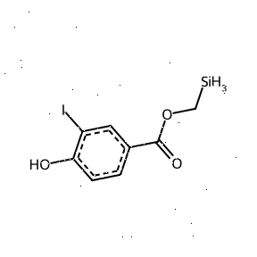 O=C(OC[SiH3])c1ccc(O)c(I)c1